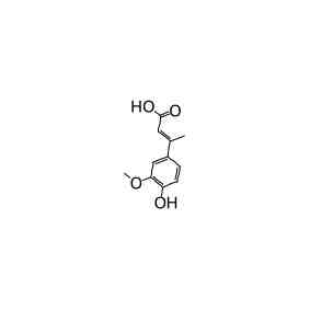 COc1cc(C(C)=CC(=O)O)ccc1O